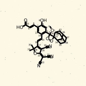 COC1(c2cc(O)c(/C=C/C(=O)O)cc2/C=C/C2=C(C#N)C(=C(C#N)C#N)OC2(C)C)OOC12C1CC3CC(C1)CC2C3